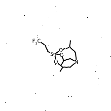 CC1CN2CC(C)[O][Sn]([CH2]CC(F)(F)F)([O]1)[O]C(C)C2